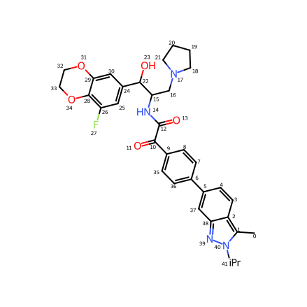 Cc1c2ccc(-c3ccc(C(=O)C(=O)NC(CN4CCCC4)C(O)c4cc(F)c5c(c4)OCCO5)cc3)cc2nn1C(C)C